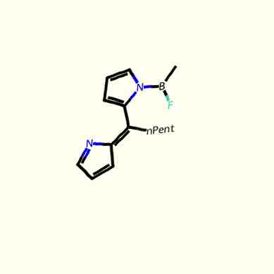 CCCCC/C(=C1\C=CC=N1)c1cccn1B(C)F